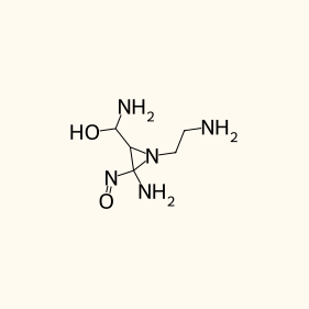 NCCN1C(C(N)O)C1(N)N=O